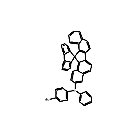 CC(C)(C)c1ccc(N(c2ccccc2)c2ccc3c4c(ccc3c2)-c2ccc3ccccc3c2C42c3ccccc3-c3ccccc32)cc1